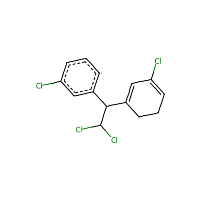 ClC1=CC[CH]C(C(c2[c]ccc(Cl)c2)C(Cl)Cl)=C1